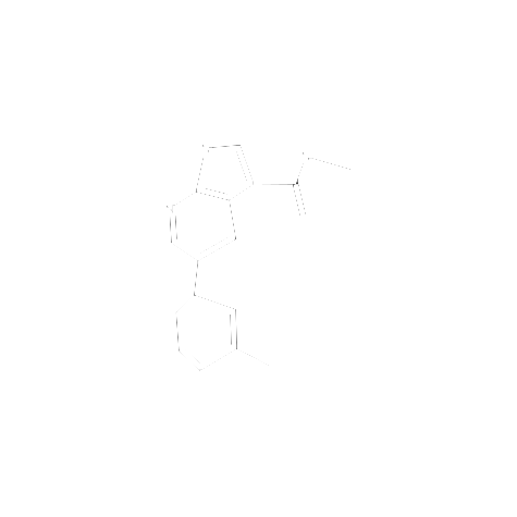 CNC(=O)c1c[nH]c2ncc(-c3cccc(F)c3)cc12